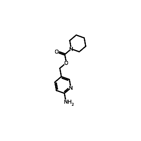 Nc1ccc(COC(=O)N2CCCCC2)cn1